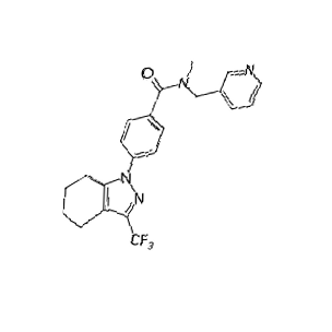 CN(Cc1cccnc1)C(=O)c1ccc(-n2nc(C(F)(F)F)c3c2CCCC3)cc1